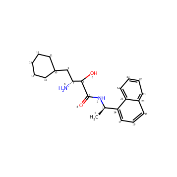 C[C@@H](NC(=O)C(O)[C@H](N)CC1CCCCC1)c1cccc2ccccc12